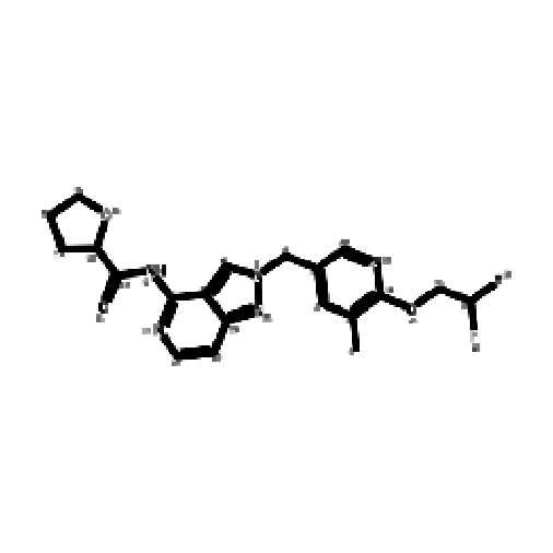 Cc1cc(Cn2cc3c(NC(=O)C4CCCO4)nccc3n2)cnc1OCC(F)F